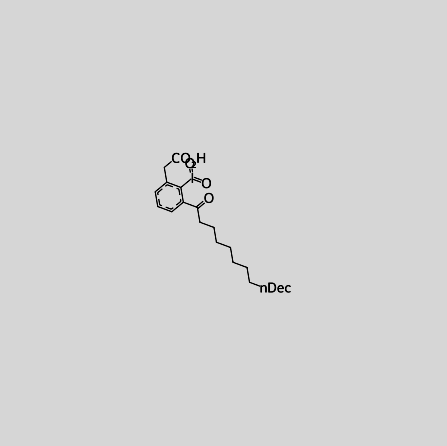 CCCCCCCCCCCCCCCCCC(=O)c1cccc(CC(=O)O)c1I(=O)=O